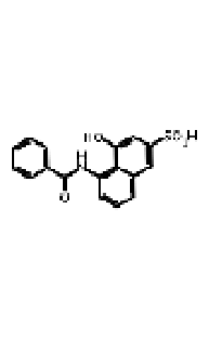 O=C(Nc1cccc2cc(S(=O)(=O)O)cc(O)c12)c1ccccc1